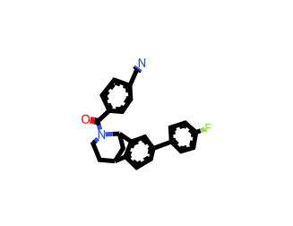 N#Cc1ccc(C(=O)N2CCC3CC2c2cc(-c4ccc(F)cc4)ccc23)cc1